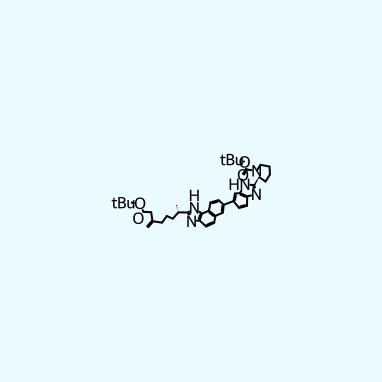 C=C(CCC[C@H](C)c1nc2ccc3cc(-c4ccc5nc([C@@H]6CCCCN6C(=O)OC(C)(C)C)[nH]c5c4)ccc3c2[nH]1)CC(=O)OC(C)(C)C